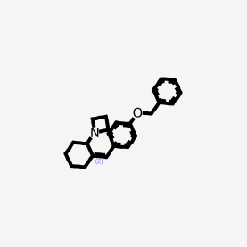 C(=C1\CCCCC1N1CCC1)/c1ccc(OCc2ccccc2)cc1